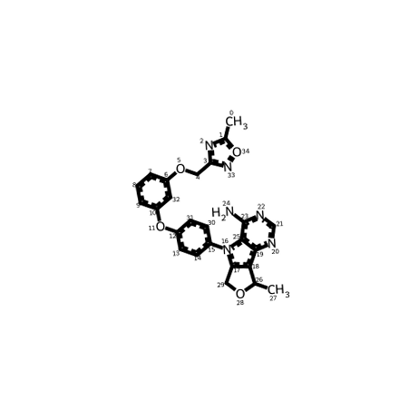 Cc1nc(COc2cccc(Oc3ccc(-n4c5c(c6ncnc(N)c64)C(C)OC5)cc3)c2)no1